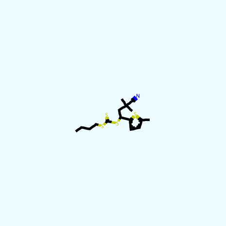 CCCCSC(=S)SC(CC(C)(C)C#N)c1ccc(C)s1